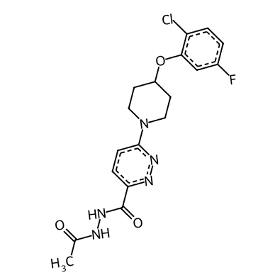 CC(=O)NNC(=O)c1ccc(N2CCC(Oc3cc(F)ccc3Cl)CC2)nn1